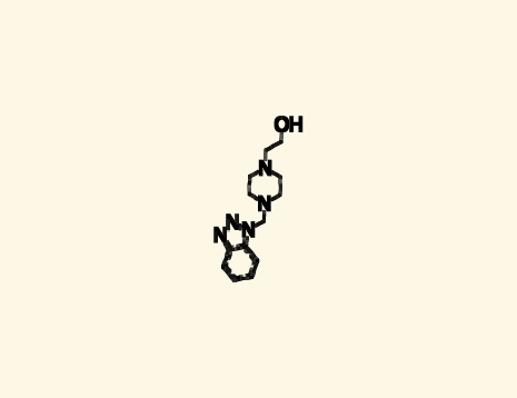 OCCN1CCN(Cn2nnc3ccccc32)CC1